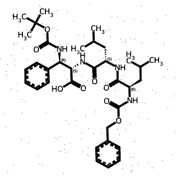 CC(C)C[C@H](NC(=O)[C@@H](CC(C)C)NC(=O)OCc1ccccc1)C(=O)N[C@H](C(=O)O)[C@H](NC(=O)OC(C)(C)C)c1ccccc1